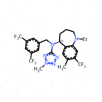 CCN1CCC[C@H](N(Cc2cc(C(F)(F)F)cc(C(F)(F)F)c2)c2nnn(C)n2)c2cc(C)c(C(F)(F)F)cc21